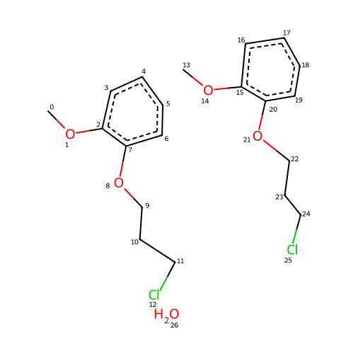 COc1ccccc1OCCCCl.COc1ccccc1OCCCCl.O